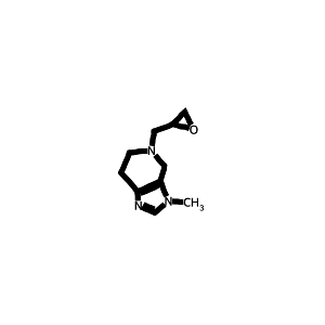 Cn1cnc2c1CN(CC1CO1)CC2